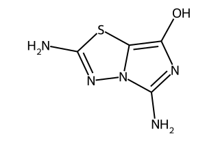 Nc1nn2c(N)nc(O)c2s1